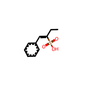 CCC(=Cc1ccccc1)S(=O)(=O)O